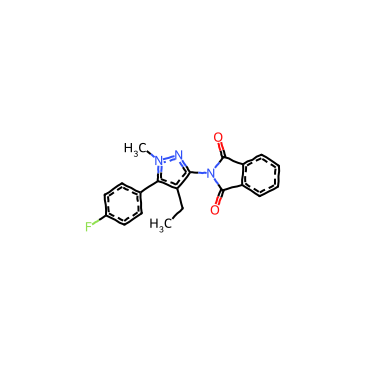 CCc1c(N2C(=O)c3ccccc3C2=O)nn(C)c1-c1ccc(F)cc1